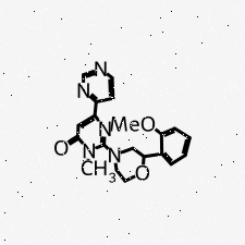 COc1ccccc1C1CN(c2nc(-c3ccncn3)cc(=O)n2C)CCO1